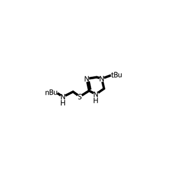 CCCCNCSC1=NCN(C(C)(C)C)CN1